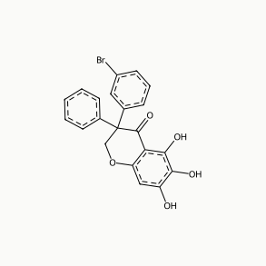 O=C1c2c(cc(O)c(O)c2O)OCC1(c1ccccc1)c1cccc(Br)c1